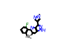 Cc1cccc(F)c1-c1nc2c(-c3cnn(C)c3)n[nH]c2cc1C#N